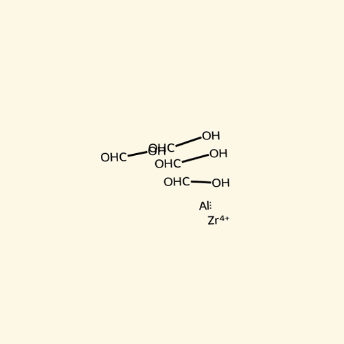 O=[C-]O.O=[C-]O.O=[C-]O.O=[C-]O.[Al].[Zr+4]